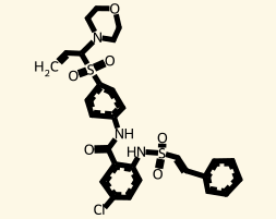 C=CC(N1CCOCC1)S(=O)(=O)c1ccc(NC(=O)c2cc(Cl)ccc2NS(=O)(=O)C=Cc2ccccc2)cc1